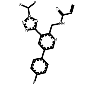 C=CC(=O)NCc1ncc(-c2ccc(F)cc2)cc1-c1nnn(C(F)F)n1